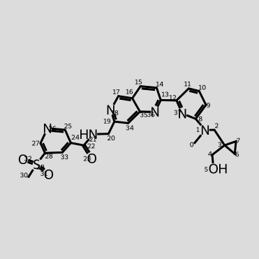 CN(CC1(CO)CC1)c1cccc(-c2ccc3cnc(CNC(=O)c4cncc(S(C)(=O)=O)c4)cc3n2)n1